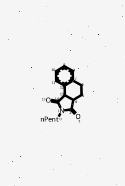 CCCCCN1C(=O)C2CCc3ccccc3C2C1=O